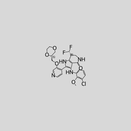 COc1c(Cl)cccc1Nc1c(-c2ccncc2OC[C@@H]2COCCO2)[nH]c2c1C(=O)NC[C@H]2C(F)F